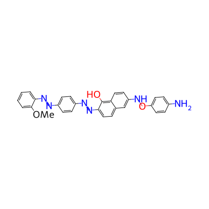 COc1ccccc1N=Nc1ccc(N=Nc2ccc3cc(NOc4ccc(N)cc4)ccc3c2O)cc1